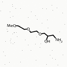 COCCOCCOCC(O)CN